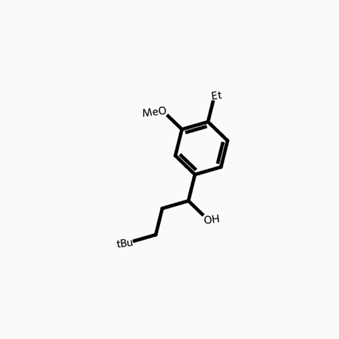 CCc1ccc(C(O)CCC(C)(C)C)cc1OC